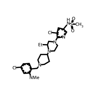 CCC1CN(c2ncc(NS(C)(=O)=O)cc2Cl)CCN1C1CCN(Cc2ccc(Cl)cc2NC)CC1